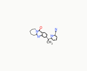 C=C(c1ccc2c(=O)n3c(nc2c1)CCCCC3)c1cccc(C#N)n1